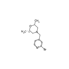 CC1CN(Cc2ccnc(Br)c2)C[C@H](C)O1